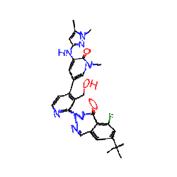 Cc1cc(Nc2cc(-c3ccnc(-n4ncc5cc(C(C)(C)C)cc(F)c5c4=O)c3CO)cn(C)c2=O)nn1C